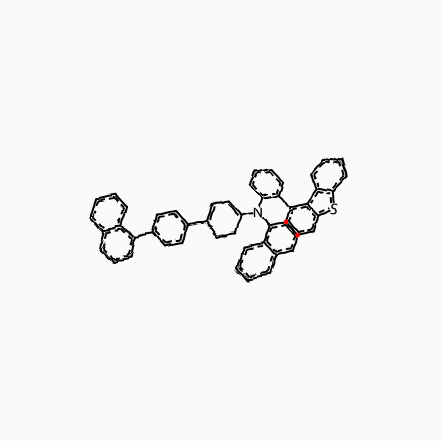 c1cc2sc3ccccc3c2c(-c2ccccc2N(C2=CC=C(c3ccc(-c4cccc5ccccc45)cc3)CC2)c2cccc3ccccc23)c#1